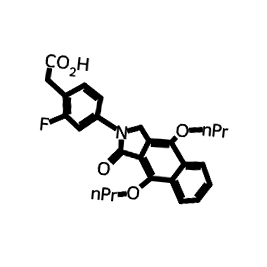 CCCOc1c2c(c(OCCC)c3ccccc13)C(=O)N(c1ccc(CC(=O)O)c(F)c1)C2